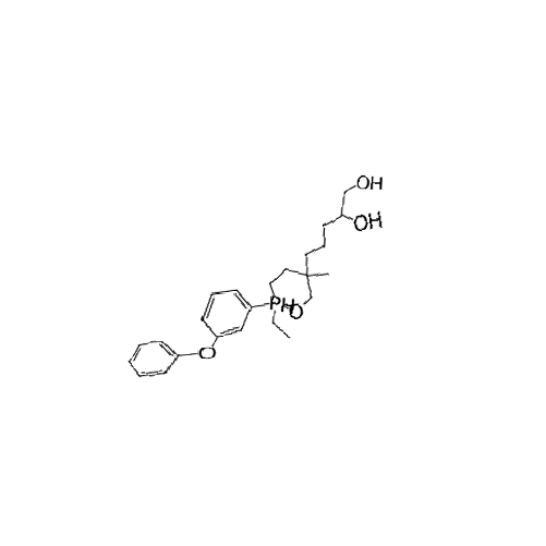 CC[PH]1(c2cccc(Oc3ccccc3)c2)CCC(C)(CCCC(O)CO)CO1